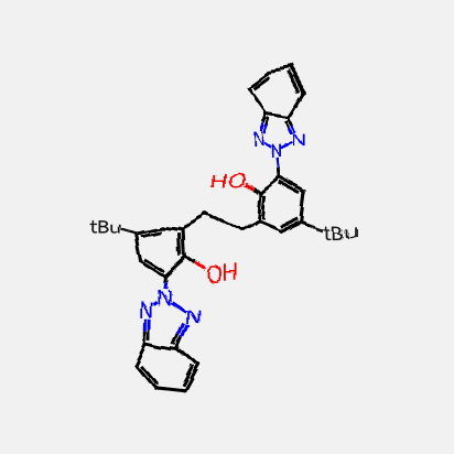 CC(C)(C)c1cc(CCc2cc(C(C)(C)C)cc(-n3nc4ccccc4n3)c2O)c(O)c(-n2nc3ccccc3n2)c1